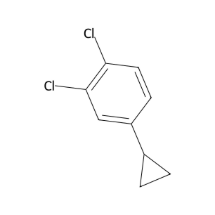 Clc1ccc(C2CC2)cc1Cl